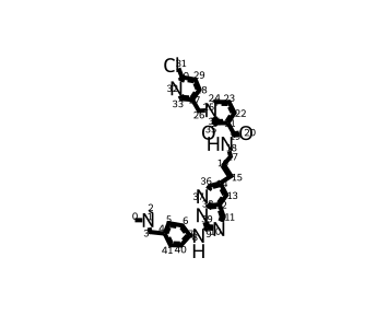 CN(C)Cc1ccc(Nc2ncc3cc(/C=C/CNC(=O)c4cccn(Cc5ccc(Cl)nc5)c4=O)cnc3n2)cc1